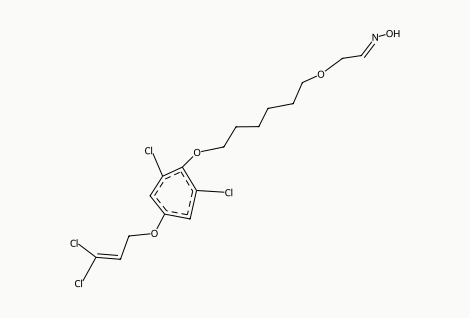 ON=CCOCCCCCCOc1c(Cl)cc(OCC=C(Cl)Cl)cc1Cl